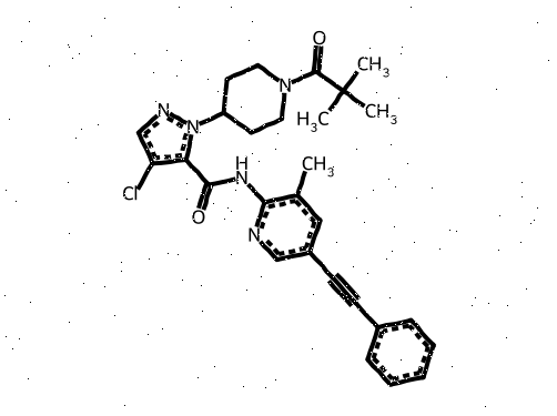 Cc1cc(C#Cc2ccccc2)cnc1NC(=O)c1c(Cl)cnn1C1CCN(C(=O)C(C)(C)C)CC1